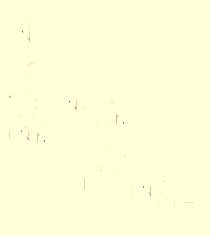 CS(=O)(=O)NCc1cc(F)cc(-c2nccc3[nH]c(-c4n[nH]c5ccc(C6=CCNCC6)cc45)cc23)c1